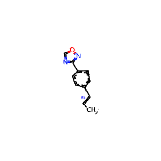 [CH2]/C=C/c1ccc(-c2ncon2)cc1